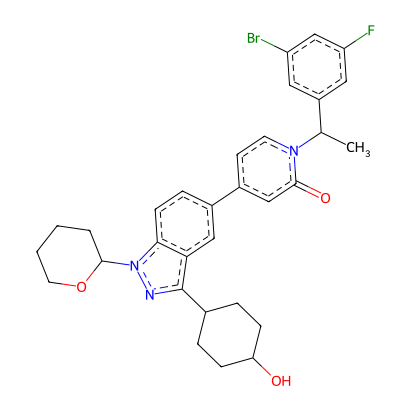 CC(c1cc(F)cc(Br)c1)n1ccc(-c2ccc3c(c2)c(C2CCC(O)CC2)nn3C2CCCCO2)cc1=O